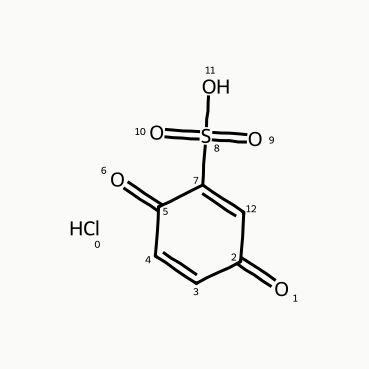 Cl.O=C1C=CC(=O)C(S(=O)(=O)O)=C1